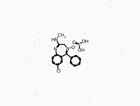 CNC1=Nc2ccc(Cl)cc2C(c2ccccc2)=[N+]([O-])C1.O=S(O)O